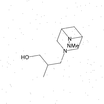 CNN1C2CC1CN(CC(C)CO)C2